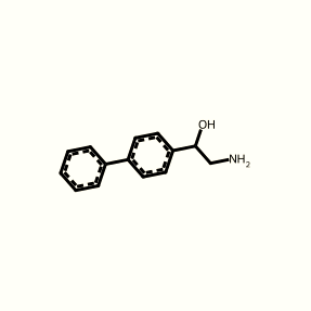 NCC(O)c1ccc(-c2ccccc2)cc1